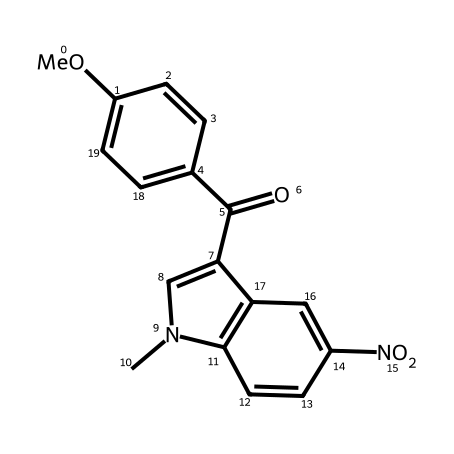 COc1ccc(C(=O)c2cn(C)c3ccc([N+](=O)[O-])cc23)cc1